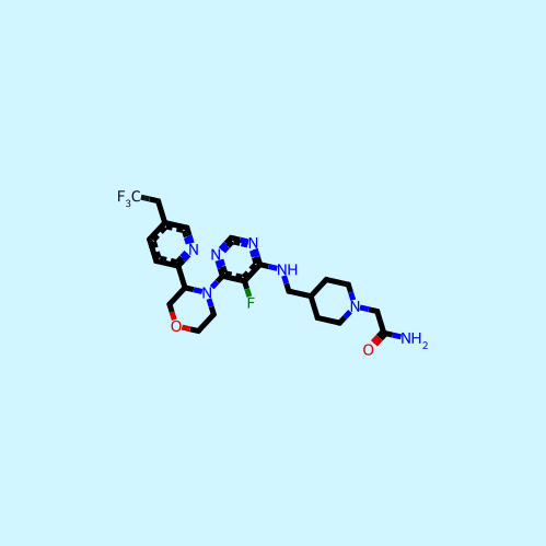 NC(=O)CN1CCC(CNc2ncnc(N3CCOCC3c3ccc(CC(F)(F)F)cn3)c2F)CC1